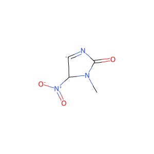 CN1C(=O)N=[C]C1[N+](=O)[O-]